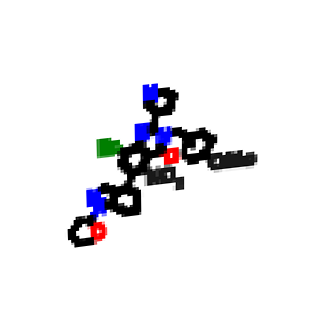 COc1ccc(Cn2c(-c3cccnc3)nc3c(Br)cc(-c4cccc5c4cnn5C4CCCCO4)c([N+](=O)[O-])c3c2=O)cc1